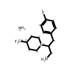 N.NCC(Cc1ccc(F)cc1)N1CCC(C(F)(F)F)CC1